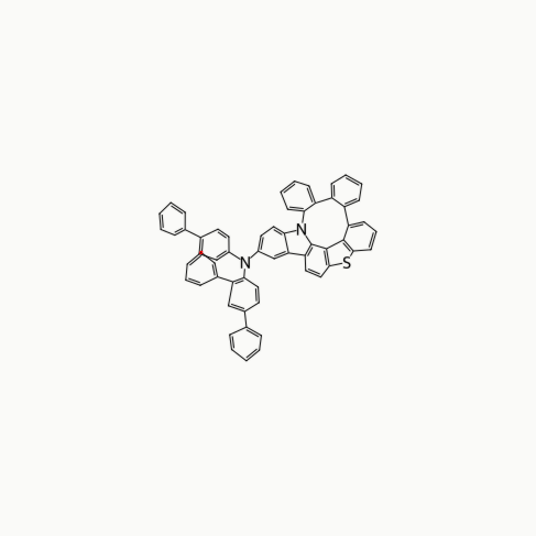 c1ccc(-c2ccc(N(c3ccc4c(c3)c3ccc5sc6cccc7c8ccccc8c8ccccc8n4c3c5c67)c3ccc(-c4ccccc4)cc3-c3ccccc3)cc2)cc1